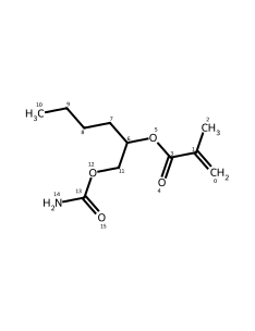 C=C(C)C(=O)OC(CCCC)COC(N)=O